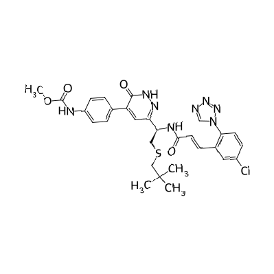 COC(=O)Nc1ccc(-c2cc([C@H](CSCC(C)(C)C)NC(=O)/C=C/c3cc(Cl)ccc3-n3cnnn3)n[nH]c2=O)cc1